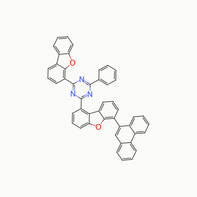 c1ccc(-c2nc(-c3cccc4c3oc3ccccc34)nc(-c3cccc4oc5c(-c6cc7ccccc7c7ccccc67)cccc5c34)n2)cc1